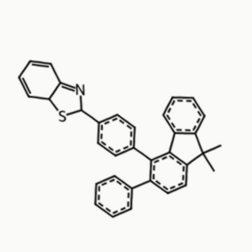 CC1(C)c2ccccc2-c2c1ccc(-c1ccccc1)c2-c1ccc(C2N=C3C=CC=CC3S2)cc1